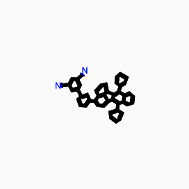 N#Cc1cc(C#N)cc(-c2cccc(-c3ccc4c5c(cccc35)-c3c-4c(-c4ccccc4)c4ccccc4c3-c3ccccc3)c2)c1